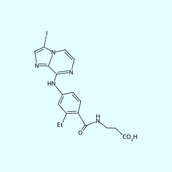 CCc1cc(Nc2nccn3c(I)cnc23)ccc1C(=O)NCCC(=O)O